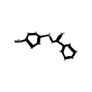 COc1ccc(OCC(=O)c2ccccc2)cc1